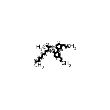 C=CCc1ccc(O)c(-c2cc(CC=C)ccc2OCC(CC)CCCCCCCCC)c1